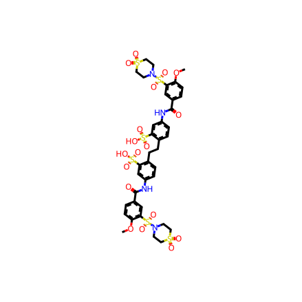 COc1ccc(C(=O)Nc2ccc(CCc3ccc(NC(=O)c4ccc(OC)c(S(=O)(=O)N5CCS(=O)(=O)CC5)c4)cc3S(=O)(=O)O)c(S(=O)(=O)O)c2)cc1S(=O)(=O)N1CCS(=O)(=O)CC1